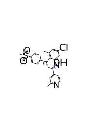 Cc1cc(/C(C[C@H](c2ccc(S(C)(=O)=O)cc2)c2ccc(Cl)cc2C)=N/O)ccn1